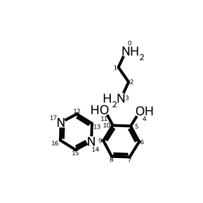 NCCN.Oc1ccccc1O.c1cnccn1